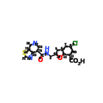 O=C(NCc1cc2cc(Cl)cc(C(=O)O)c2o1)c1cncc2scnc12